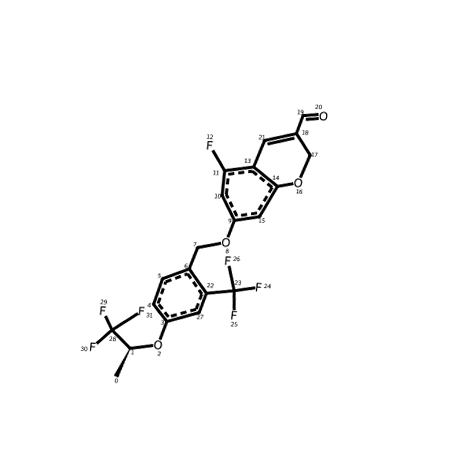 C[C@H](Oc1ccc(COc2cc(F)c3c(c2)OCC(C=O)=C3)c(C(F)(F)F)c1)C(F)(F)F